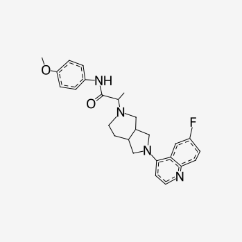 COc1ccc(NC(=O)C(C)N2CCC3CN(c4ccnc5ccc(F)cc45)CC3C2)cc1